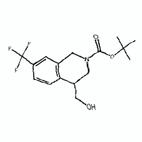 CC(C)(C)OC(=O)N1Cc2cc(C(F)(F)F)ccc2C(CO)C1